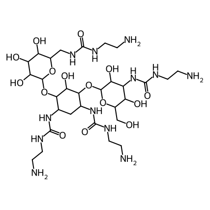 NCCNC(=O)NCC1OC(OC2C(NC(=O)NCCN)CC(NC(=O)NCCN)C(OC3OC(CO)C(O)C(NC(=O)NCCN)C3O)C2O)C(O)C(O)C1O